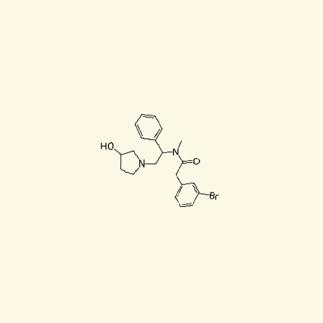 CN(C(=O)Cc1cccc(Br)c1)C(CN1CCC(O)C1)c1ccccc1